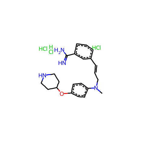 CN(C/C=C/c1cccc(C(=N)N)c1)c1ccc(OC2CCNCC2)cc1.Cl.Cl.Cl